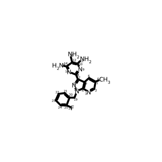 Cc1cnc2c(c1)c(-c1nc(N)c(N)c(N)n1)nn2Cc1ccccc1F